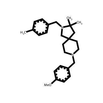 COc1ccc(CN2CCC3(CC2)CN(Cc2ccc(C)cc2)C(C)(C)C3)cc1